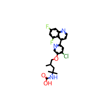 CC(COc1cnc(-c2ccnc3cc(F)cc(F)c23)cc1Cl)CC(C)(C)NC(=O)O